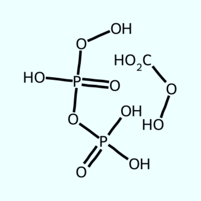 O=C(O)OO.O=P(O)(O)OP(=O)(O)OO